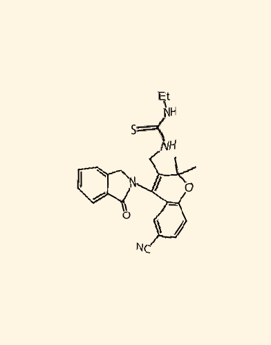 CCNC(=S)NCC1=C(N2Cc3ccccc3C2=O)c2cc(C#N)ccc2OC1(C)C